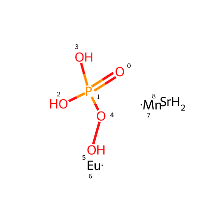 O=P(O)(O)OO.[Eu].[Mn].[SrH2]